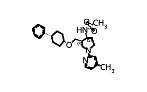 Cc1ccnc(N2CC[C@H](NS(C)(=O)=O)[C@H](CO[C@H]3CC[C@@H](c4ccccc4)CC3)C2)c1